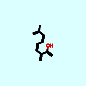 C=C(C)/C=C\C=C/C(=C)C(=C)O